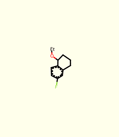 CCOC1CCCc2cc(F)ccc21